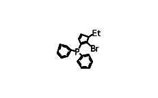 CCC1C=CC(P(c2ccccc2)c2ccccc2)=C1Br